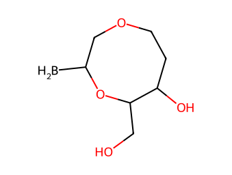 BC1COCCC(O)C(CO)O1